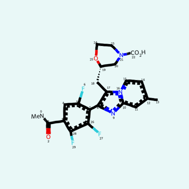 CNC(=O)c1cc(F)c(-c2nc3cc(C)ccn3c2C[C@H]2CN(C(=O)O)CCO2)c(F)c1F